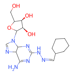 NC1=NC(N/N=C\C2CCCCC2)=NC2C1N=CN2C1OC(CO)[C@@H](O)[C@H]1O